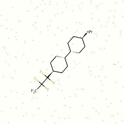 CCC[C@H]1CC[C@H]([C@H]2CC[C@H](C(F)(F)C(F)(F)C(F)(F)F)CC2)CC1